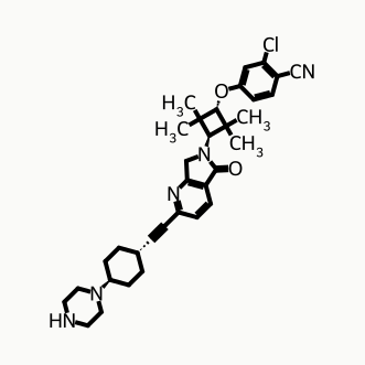 CC1(C)[C@H](Oc2ccc(C#N)c(Cl)c2)C(C)(C)[C@H]1N1Cc2nc(C#C[C@H]3CC[C@H](N4CCNCC4)CC3)ccc2C1=O